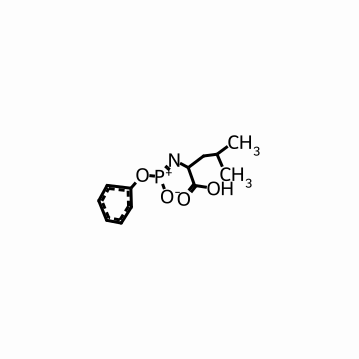 CC(C)CC(/N=[P+](\[O-])Oc1ccccc1)C(=O)O